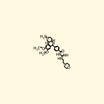 CCOc1cc2c(cc1OC)C(c1ccc(C(=O)NC(=N)NCCN3CCOCC3)cc1)=N[C@@H]1CCN(C)C[C@H]21